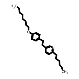 CCCCCCCCOc1ccc(CCc2ccc(CCCCCC)nc2)cc1